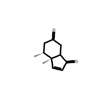 C[C@@H]1CC(=O)CC2C(=O)C=C[C@]21C